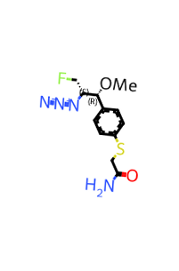 CO[C@H](c1ccc(SCC(N)=O)cc1)[C@@H](CF)N=[N+]=[N-]